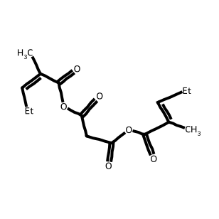 CCC=C(C)C(=O)OC(=O)CC(=O)OC(=O)C(C)=CCC